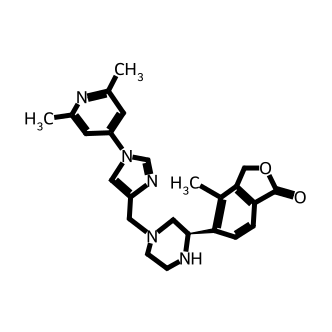 Cc1cc(-n2cnc(CN3CCN[C@H](c4ccc5c(c4C)COC5=O)C3)c2)cc(C)n1